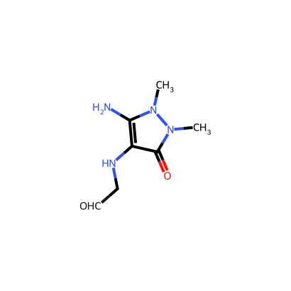 Cn1c(N)c(NCC=O)c(=O)n1C